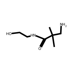 CC(C)(CN)C(=O)NCCO